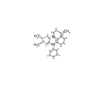 C=C/C=C\C(=C/C=C)N(c1ccccc1)c1cccc2c(C)ccnc12